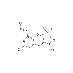 O=C(O)C1=Cc2cc(Cl)cc(C=NO)c2O[C@@H]1C(F)(F)F